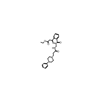 CCOC(=O)Cc1nn(CNC(=O)CCN2CCN(c3ccccc3)CC2)c(=O)c2ccccc12